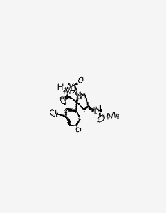 CON=C1CN(C(N)=O)C(C(N)=O)(c2cc(Cl)cc(Cl)c2)C1